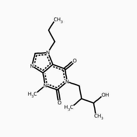 CCCn1cnc2c1c(=O)n(CC(C)C(C)O)c(=O)n2C